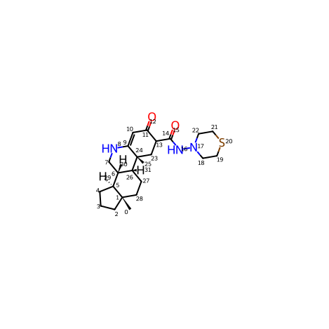 C[C@@]12CCC[C@H]1[C@@H]1CNC3=CC(=O)C(C(=O)NN4CCSCC4)C[C@]3(C)[C@@H]1CC2